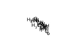 COc1c(Oc2ccnc(NC(C)=O)c2)cnc2nc(Nc3cc(C(F)(F)F)cn(CCOCc4ccccc4)c3=O)n(C)c12